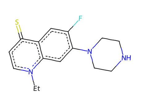 CCn1ccc(=S)c2cc(F)c(N3CCNCC3)cc21